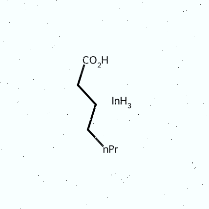 CCCCCCC(=O)O.[InH3]